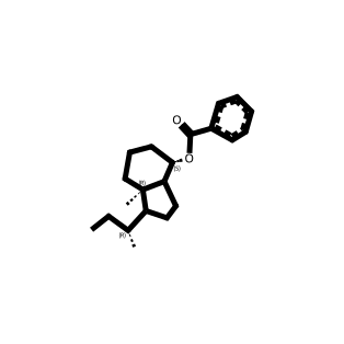 CC[C@@H](C)C1CCC2[C@@H](OC(=O)c3ccccc3)CCC[C@]12C